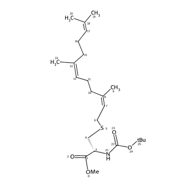 COC(=O)[C@H](CSCC=C(C)CCC=C(C)CCC=C(C)C)NC(=O)OC(C)(C)C